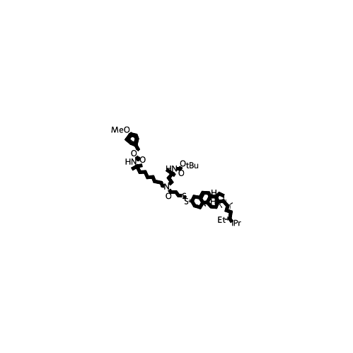 CC[C@H](CC[C@@H](C)[C@H]1CC[C@H]2[C@@H]3CC=C4C[C@@H](SSCCC(=O)N(CCCCCCCC(C)(C)NC(=O)OCc5ccc(OC)cc5)CCC(C)(C)NC(=O)OC(C)(C)C)CC[C@]4(C)C3CC[C@]12C)C(C)C